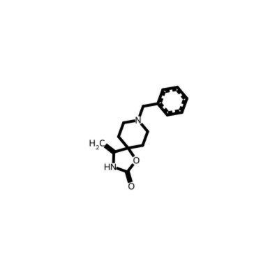 C=C1NC(=O)OC12CCN(Cc1ccccc1)CC2